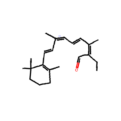 CCC(C=O)=C(C)C=C/C=C(/C)C=CC1=C(C)CCCC1(C)C